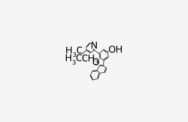 CC(C)(C)c1ccnc(-c2cc(O)cc3c2oc2c4ccccc4ccc32)c1